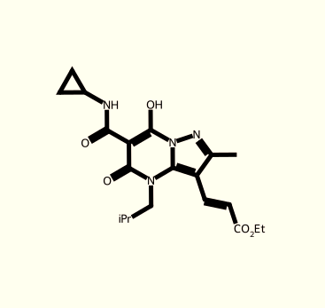 CCOC(=O)/C=C/c1c(C)nn2c(O)c(C(=O)NC3CC3)c(=O)n(CC(C)C)c12